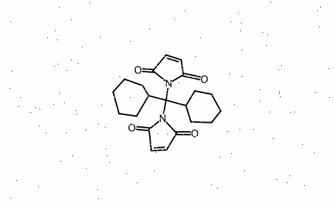 O=C1C=CC(=O)N1C(C1CCCCC1)(C1CCCCC1)N1C(=O)C=CC1=O